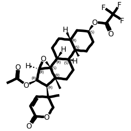 CC(=O)O[C@H]1[C@H]2O[C@]23[C@@H]2CC[C@@H]4C[C@@H](OC(=O)C(F)(F)F)CC[C@]4(C)[C@H]2CC[C@]3(C)[C@H]1C1(C)C=CC(=O)OC1